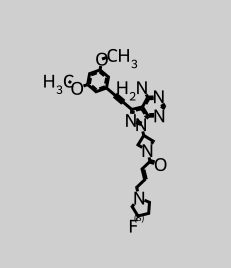 COc1cc(C#Cc2nn(C3CN(C(=O)C=CCN4CC[C@H](F)C4)C3)c3ncnc(N)c23)cc(OC)c1